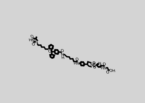 Cc1cn(CCCCCCOC(c2ccccc2)(c2ccccc2)c2ccc(C(=O)NCCCCCCC(=O)Nc3ccc(C4CCN(S(=O)(=O)c5ccc(C(=O)NCC(=O)O)nc5)CC4)cc3)cc2)c(=O)[nH]c1=O